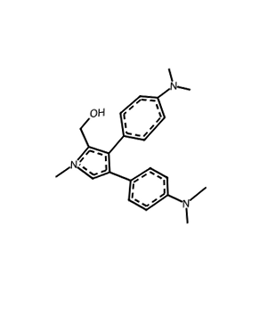 CN(C)c1ccc(-c2cn(C)c(CO)c2-c2ccc(N(C)C)cc2)cc1